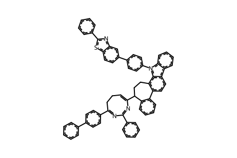 C1=C(C2CCc3c(ccc4c5ccccc5n(-c5ccc(-c6ccc7sc(-c8ccccc8)nc7c6)cc5)c34)-c3ccccc32)/N=C(c2ccccc2)\N=C(\c2ccc(-c3ccccc3)cc2)CC\1